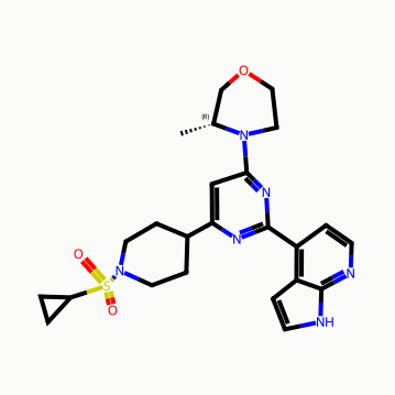 C[C@@H]1COCCN1c1cc(C2CCN(S(=O)(=O)C3CC3)CC2)nc(-c2ccnc3[nH]ccc23)n1